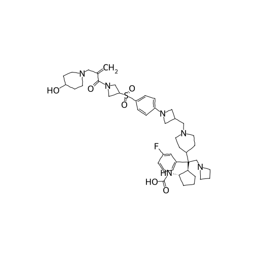 C=C(CN1CCC(O)CC1)C(=O)N1CC(S(=O)(=O)c2ccc(N3CC(CN4CCC(C(CN5CCC5)(c5cccc(F)c5)[C@H]5CCC[C@@H]5NC(=O)O)CC4)C3)cc2)C1